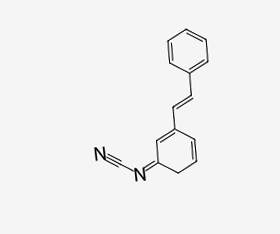 N#CN=C1C=C(C=Cc2ccccc2)C=CC1